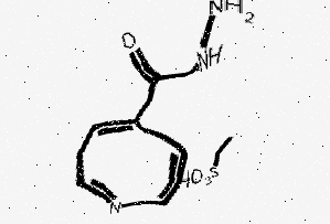 CS(=O)(=O)O.NNC(=O)c1ccncc1